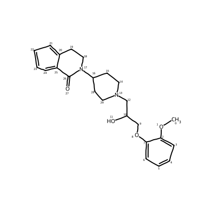 COc1ccccc1OCC(O)CN1CCC(N2CCc3ccccc3C2=O)CC1